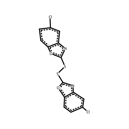 Clc1ccc2oc(SSc3nc4cc(Cl)ccc4o3)nc2c1